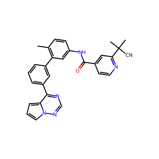 Cc1ccc(NC(=O)c2ccnc(C(C)(C)C#N)c2)cc1-c1cccc(-c2ncnn3cccc23)c1